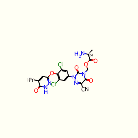 CC(C)c1cc(Oc2c(Cl)cc(-n3nc(C#N)c(=O)n(COC(=O)[C@H](C)N)c3=O)cc2Cl)n[nH]c1=O